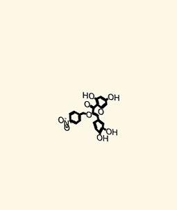 O=c1c(OCc2ccc([N+](=O)[O-])cc2)c(-c2ccc(O)c(O)c2)oc2cc(O)cc(O)c12